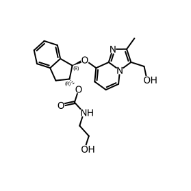 Cc1nc2c(O[C@@H]3c4ccccc4C[C@H]3OC(=O)NCCO)cccn2c1CO